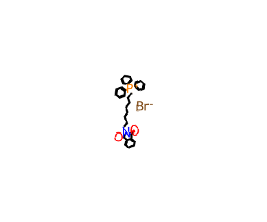 O=C1c2ccccc2C(=O)N1CCCCCCCC[P+](c1ccccc1)(c1ccccc1)c1ccccc1.[Br-]